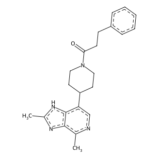 Cc1nc2c(C)ncc(C3CCN(C(=O)CCc4ccccc4)CC3)c2[nH]1